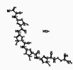 C=C(Br)C(=O)Nc1cc(C(=O)Nc2cc(C(=O)Nc3cc(C(=O)Nc4cc(C(=O)NCCC(=N)N)n(C)c4)n(C)c3)n(C)c2)n(C)c1.Cl